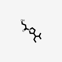 CCC(C(C)C)C1CCN(C(=O)CCO)C1